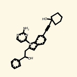 Nc1nccc(-n2c(CC(O)c3ccccc3)cc3ccc(C#CC4(O)CCCCC4)cc32)n1